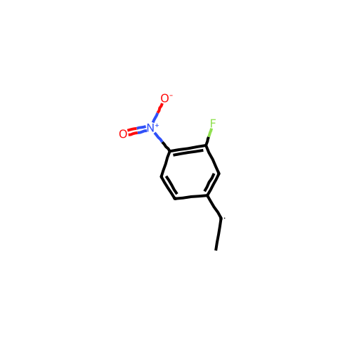 C[CH]c1ccc([N+](=O)[O-])c(F)c1